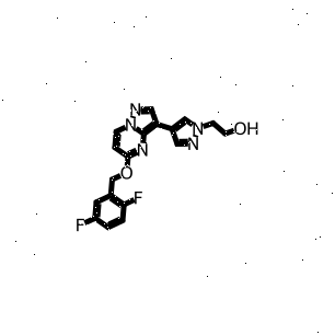 OCCn1cc(-c2cnn3ccc(OCc4cc(F)ccc4F)nc23)cn1